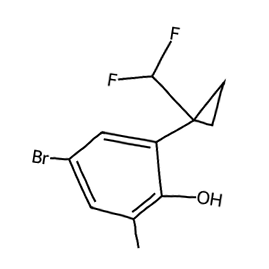 Cc1cc(Br)cc(C2(C(F)F)CC2)c1O